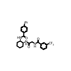 CC(C)c1ccc(C(=O)N[C@@H]2CCCC[C@@H]2NC(=O)CNC(=O)c2cccc(C(F)(F)F)c2)cc1